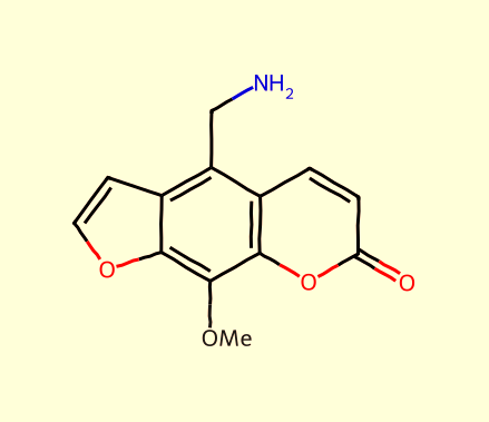 COc1c2occc2c(CN)c2ccc(=O)oc12